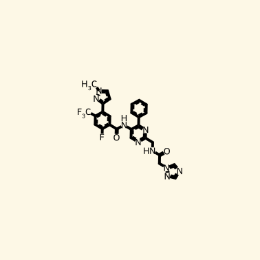 Cn1ccc(-c2cc(C(=O)Nc3cnc(CNC(=O)Cn4cncn4)nc3-c3ccccc3)c(F)cc2C(F)(F)F)n1